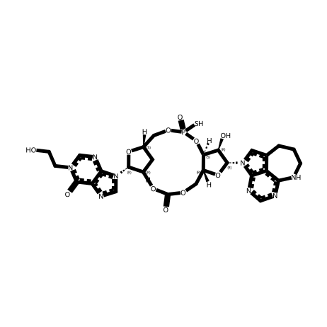 O=C1OC[C@H]2O[C@@H](n3cc4c5c(ncnc53)NCCC4)[C@H](O)[C@@H]2OP(=O)(S)OC[C@@H]2C[C@@H](O1)[C@H](n1cnc3c(=O)n(CCO)cnc31)O2